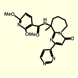 COc1ccc(C(=O)NC2(C)CCCCn3c2nc(-c2ccncn2)cc3=O)c(OC)n1